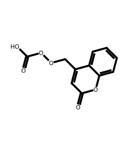 O=C(O)OOCc1cc(=O)oc2ccccc12